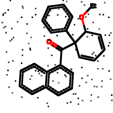 CCOC1C=CC=CC1(C(=O)c1cccc2ccccc12)c1ccccc1